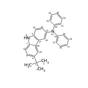 CC(C)(C)c1ccc2[nH]c3ccc(N(c4ccccc4)c4ccccc4)cc3c2c1